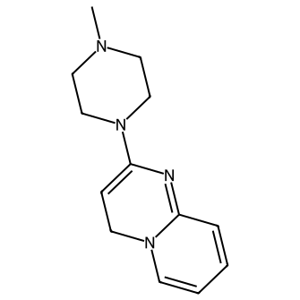 CN1CCN(C2=CCN3C=CC=CC3=N2)CC1